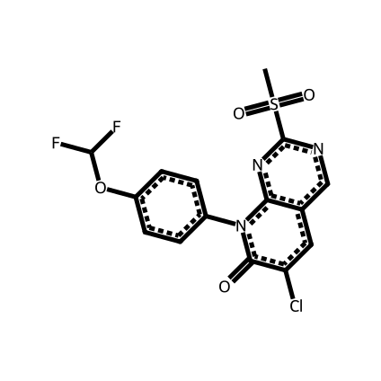 CS(=O)(=O)c1ncc2cc(Cl)c(=O)n(-c3ccc(OC(F)F)cc3)c2n1